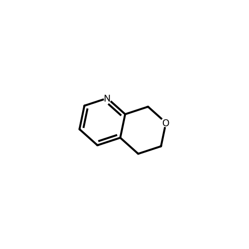 c1cnc2c(c1)CCOC2